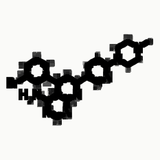 CN1CCN(c2ccc(-c3cc(-c4cccc(Br)c4)c4c(N)ncnc4n3)cn2)CC1